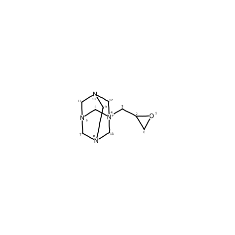 C1OC1C[N+]12CN3CN(CN(C3)C1)C2